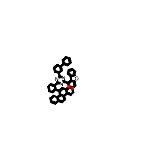 c1ccc(-c2cccc(-c3nc(-c4ccccc4-c4cc5ccccc5c5ccc6ccccc6c45)nc(-c4cccc5oc6ccccc6c45)n3)c2)cc1